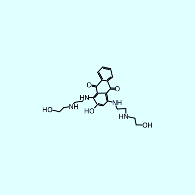 O=C1c2ccccc2C(=O)c2c(NCCNCCO)c(O)cc(NCCNCCO)c21